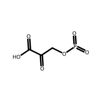 O=C(O)C(=O)COP(=O)=O